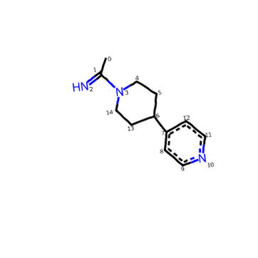 CC(=N)N1CCC(c2ccncc2)CC1